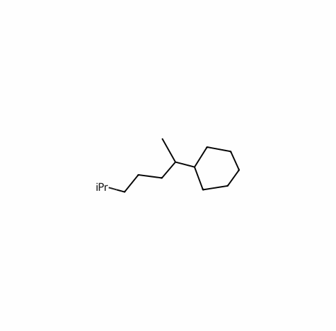 CC(C)CCCC(C)C1CCCCC1